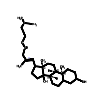 C/C(=C\C1CC[C@@]2(O)[C@@H]3CCC4CC(O)CC[C@]4(C)[C@@H]3CC[C@]12C)CNOCCN(C)C